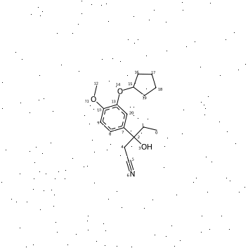 CCC(O)(CC#N)c1ccc(OC)c(OC2CCCC2)c1